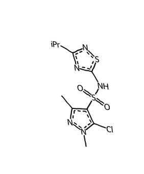 Cc1nn(C)c(Cl)c1S(=O)(=O)Nc1nc(C(C)C)ns1